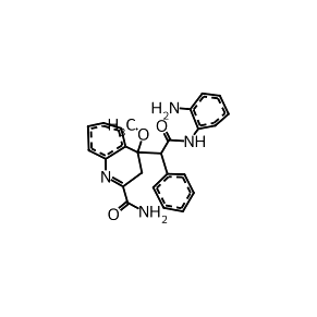 COC1(C(C(=O)Nc2ccccc2N)c2ccccc2)CC(C(N)=O)=Nc2ccccc21